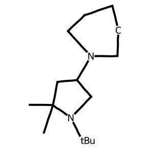 CC(C)(C)N1CC(N2CCCCC2)CC1(C)C